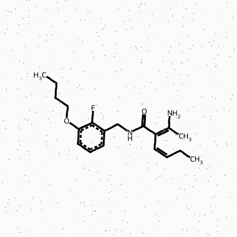 CC/C=C\C(C(=O)NCc1cccc(OCCCC)c1F)=C(/C)N